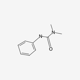 CN(C)C(=O)[N]c1ccccc1